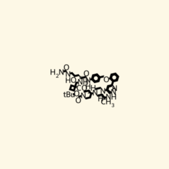 C[C@@H]1Nc2nnc(-c3ccccc3OCc3ccc(NC(=O)[C@H](CCCNC(N)=O)NC(=O)C4(C(=O)O)CCC4)cc3)cc2N2CCN(C3CCN(C(=O)OC(C)(C)C)CC3)C[C@@H]12